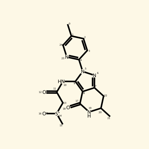 Cc1ccc(-n2nc3c(c2NC(=O)C[S+](C)[O-])C(=O)NC(C)C3)nc1